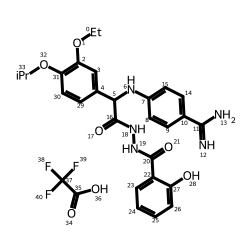 CCOc1cc(C(Nc2ccc(C(=N)N)cc2)C(=O)NNC(=O)c2ccccc2O)ccc1OC(C)C.O=C(O)C(F)(F)F